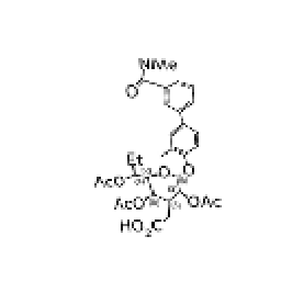 CC[C@H](OC(C)=O)[C@H]1O[C@H](Oc2ccc(-c3cccc(C(=O)NC)c3)cc2C)[C@@H](OC(C)=O)[C@@H](CC(=O)O)[C@H]1OC(C)=O